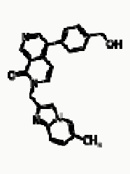 Cc1ccc2nc(Cn3ccc4c(-c5ccc(CO)cc5)cncc4c3=O)cn2c1